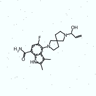 C=CC(O)N1CCC2(CCN(c3c(F)cc(C(N)=O)c4[nH]c(C)c(C)c34)C2)C1